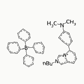 CCCCn1cc2cccc(-c3ccc(N(C)C)cc3)[n+]2c1.c1ccc([B-](c2ccccc2)(c2ccccc2)c2ccccc2)cc1